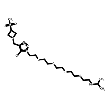 CC(C)NCCOCCOCCOCCOCCn1nnc(CN2CC(S(C)(=O)=O)C2)c1Cl